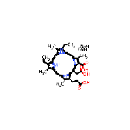 C=Cc1c(C)c2cc3nc(c(CC(=O)O)c4nc(cc5[nH]c(cc1[nH]2)c(C)c5CC)C(C)=C4C(=O)O)[C@@H](CCC(=O)O)[C@@H]3C.[NaH].[NaH]